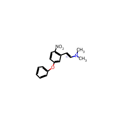 CN(C)/C=C/c1cc(Oc2ccccc2)ccc1[N+](=O)[O-]